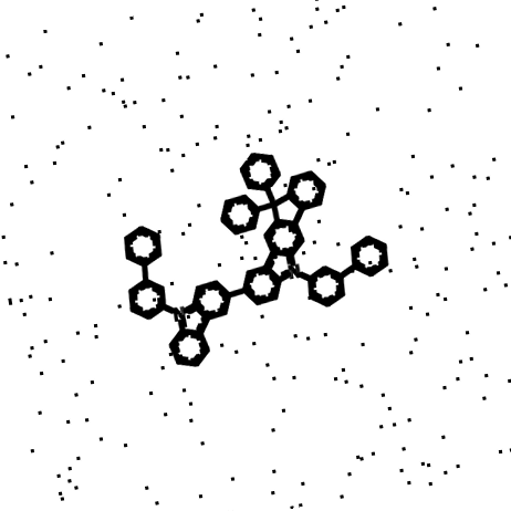 c1ccc(-c2cccc(-n3c4ccccc4c4cc(-c5ccc6c(c5)c5cc7c(cc5n6-c5cccc(-c6ccccc6)c5)-c5ccccc5C7(c5ccccc5)c5ccccc5)ccc43)c2)cc1